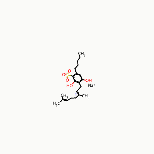 CCCCCc1cc(O)c(C/C=C(\C)CCC=C(C)C)c(O)c1S(=O)(=O)[O-].[Na+]